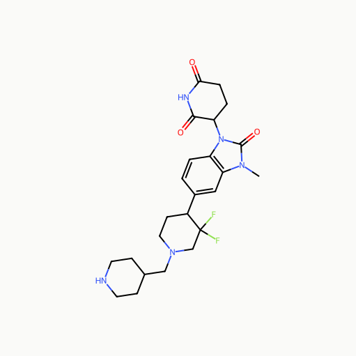 Cn1c(=O)n(C2CCC(=O)NC2=O)c2ccc(C3CCN(CC4CCNCC4)CC3(F)F)cc21